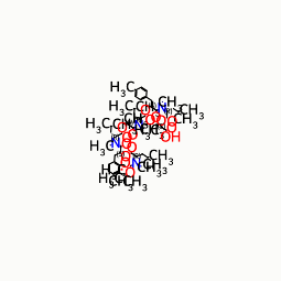 Cc1ccc(C[C@H](OC(=O)[C@@H](CC(C)C)N(C)C(=O)OC(C)(C)C)C(=O)N(C)[C@H](CC(C)C)C(=O)O[C@@H](C)C(=O)N(C)[C@H](CC(C)C)C(=O)O[C@@H](Cc2ccc(C)cc2)C(=O)N(C)[C@H](CC(C)C)C(=O)O[C@@H](C)C(=O)O)cc1